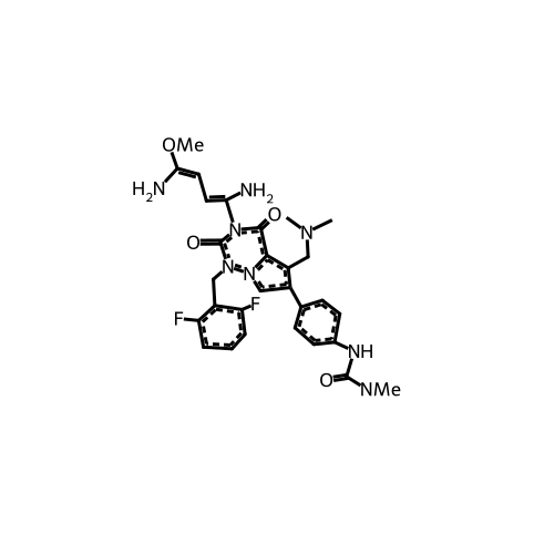 CNC(=O)Nc1ccc(-c2cn3c(c2CN(C)C)c(=O)n(/C(N)=C/C=C(\N)OC)c(=O)n3Cc2c(F)cccc2F)cc1